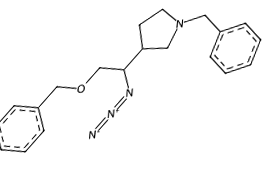 [N-]=[N+]=NC(COCc1ccccc1)C1CCN(Cc2ccccc2)C1